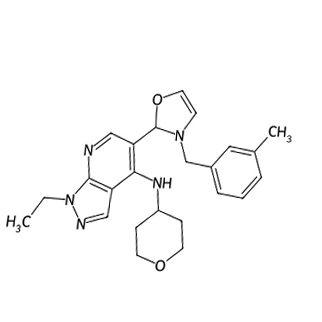 CCn1ncc2c(NC3CCOCC3)c(C3OC=CN3Cc3cccc(C)c3)cnc21